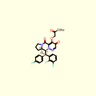 COC(=O)COc1c2n(ncc1=O)[C@@H]([C@H](c1ccc(F)cc1)c1cccc(F)c1F)[C@H]1CCCN1C2=O